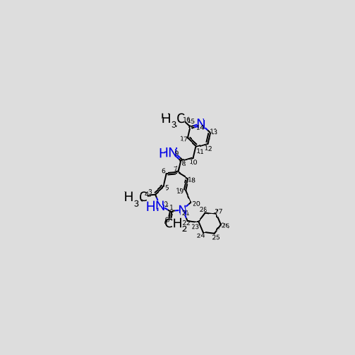 C=C1N/C(C)=C/C=C(C(=N)Cc2ccnc(C)c2)\C=C\CN1CC1CCCCC1